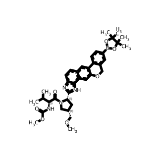 COC[C@H]1C[C@@H](c2nc3ccc4cc5c(cc4c3[nH]2)OCc2cc(B3OC(C)(C)C(C)(C)O3)ccc2-5)N(C(=O)[C@@H](NC(=O)OC)C(C)C)C1